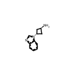 N[C@H]1C[C@H](n2cnc3ccccc32)C1